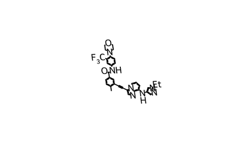 CCn1cc(Nc2cccn3c(C#Cc4cc(C(=O)Nc5ccc(N6CCOCC6)c(C(F)(F)F)c5)ccc4C)cnc23)cn1